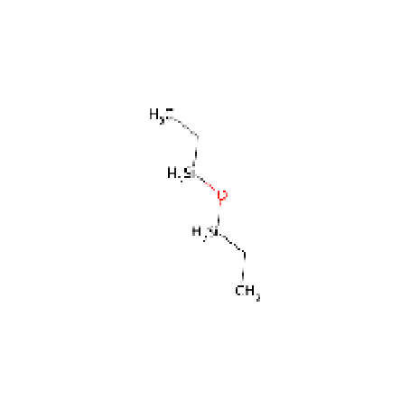 CC[SiH2]O[SiH2]CC